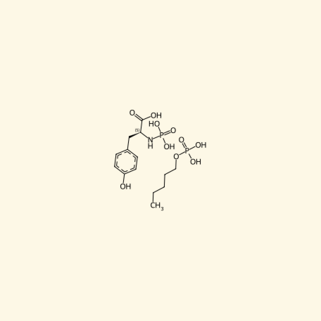 CCCCCOP(=O)(O)O.O=C(O)[C@H](Cc1ccc(O)cc1)NP(=O)(O)O